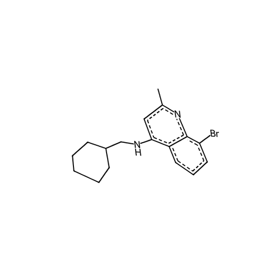 Cc1cc(NCC2CCCCC2)c2cccc(Br)c2n1